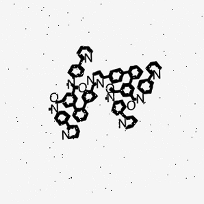 CN(C(=O)c1cc(C(=O)N(C)c2ccc(-c3ccccn3)cc2)cc(-c2ccccc2-c2ccc(-c3ccnc(-c4ccc(-c5ccccc5-c5cc(C(=O)N(C)c6ccc(-c7ccccn7)cc6)cc(C(=O)N(C)c6ccc(-c7ccccn7)cc6)c5)cc4)n3)cc2)c1)c1ccc(-c2ccccn2)cc1